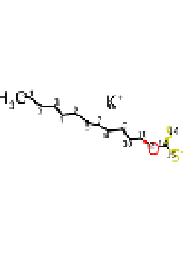 CCCCCCCCCCCCOC(=S)[S-].[K+]